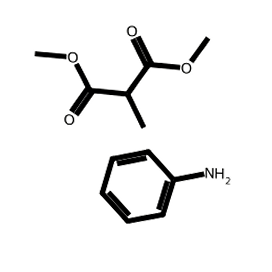 COC(=O)C(C)C(=O)OC.Nc1ccccc1